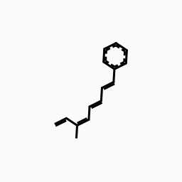 C=CC(C)=CC=CC=Cc1ccccc1